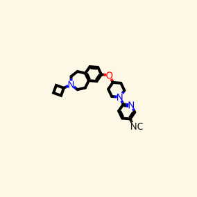 [C-]#[N+]c1ccc(N2CCC(Oc3ccc4c(c3)CCN(C3CCC3)CC4)CC2)nc1